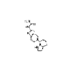 NC(=O)Nc1nc2ccc(-c3cccc4cc[nH]c34)cc2s1